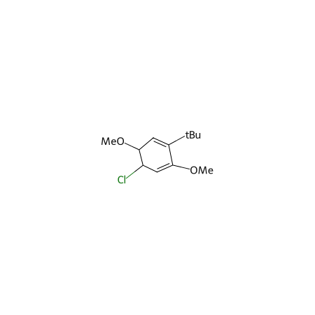 COC1=CC(Cl)C(OC)C=C1C(C)(C)C